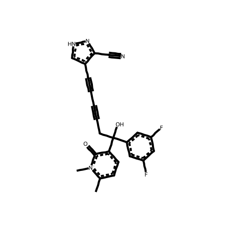 Cc1ccc(C(O)(CC#CC#Cc2c[nH]nc2C#N)c2cc(F)cc(F)c2)c(=O)n1C